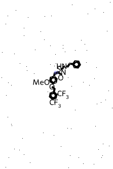 COc1cc(/C=C2/SC(NCCc3ccccc3)=NC2=O)ccc1OCc1ccc(C(F)(F)F)cc1C(F)(F)F